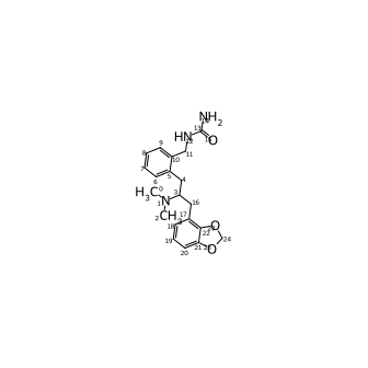 CN(C)C(Cc1ccccc1CNC(N)=O)Cc1cccc2c1OCO2